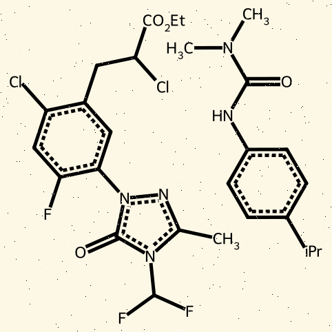 CC(C)c1ccc(NC(=O)N(C)C)cc1.CCOC(=O)C(Cl)Cc1cc(-n2nc(C)n(C(F)F)c2=O)c(F)cc1Cl